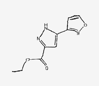 CCOC(=O)c1cc(-c2ccon2)[nH]n1